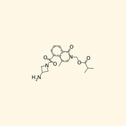 Cc1cn(COC(=O)C(C)C)c(=O)c2cccc(S(=O)(=O)N3CC(N)C3)c12